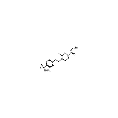 CC(=O)NC1(c2ccc(CCN3CCN(C(=O)OC(C)(C)C)CC3C)cc2)CC1